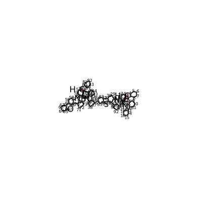 CC1(C)c2ccccc2-c2ccc3c4ccccc4n(B4c5ccccc5-n5c6ccc7c8ccc(-c9cccc%10c9c9ccc%11c(c9n%10B9c%10ccccc%10-n%10c%12ccc%13c%14ccccc%14oc%13c%12c%12cccc9c%12%10)C(C)(C)c9ccccc9-%11)cc8sc7c6c6cccc4c65)c3c21